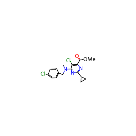 COC(=O)c1nc(C2CC2)nc(N(C)Cc2ccc(Cl)cc2)c1Cl